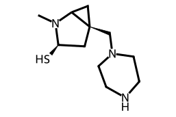 CN1C2C[C@]2(CN2CCNCC2)C[C@H]1S